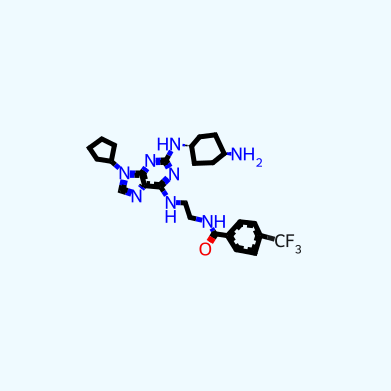 N[C@H]1CC[C@H](Nc2nc(NCCNC(=O)c3ccc(C(F)(F)F)cc3)c3ncn(C4CCCC4)c3n2)CC1